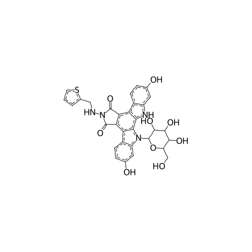 O=C1c2c(c3c4ccc(O)cc4n(C4OC(CO)C(O)C(O)C4O)c3c3[nH]c4cc(O)ccc4c23)C(=O)N1NCc1cccs1